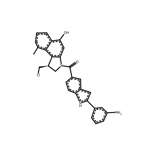 Cc1cccc2c(O)cc3c(c12)[C@H](CCl)CN3C(=O)c1ccc2[nH]c(-c3cccc(N)c3)cc2c1